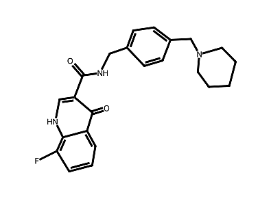 O=C(NCc1ccc(CN2CCCCC2)cc1)c1c[nH]c2c(F)cccc2c1=O